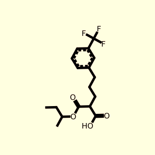 CCC(C)OC(=O)C(CCCc1cccc(C(F)(F)F)c1)C(=O)O